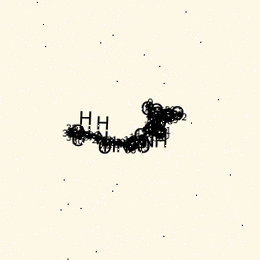 COC(=O)CN(c1ccc(NS(=O)(=O)c2ccc(NCCCC(=O)NCCCNC(=O)OC(C)(C)C)cc2)c2ccccc12)S(=O)(=O)c1ccc(OC)cc1